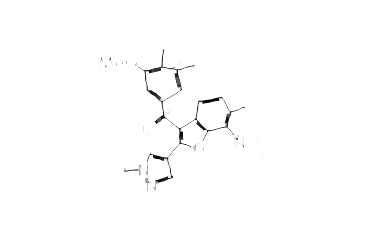 COc1cc(C(=O)c2c(-c3cnn(C)c3)oc3c([N+](=O)[O-])c(C)ccc23)cc(C)c1C